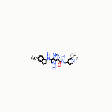 CC(=O)c1ccc2c(c1)CCC2Nc1c[nH]c2c(C(=O)NCc3ccnc(C(F)(F)F)c3)ncnc12